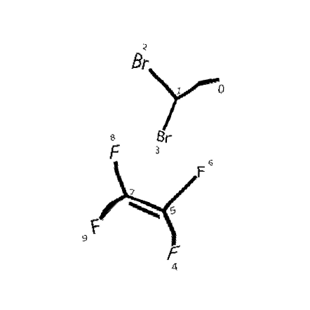 CC(Br)Br.FC(F)=C(F)F